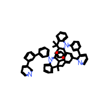 CC1(C)c2ccccc2N(c2cccc(-c3cccnc3-c3cccc(CC4(C)c5ccccc5N(c5cccc(-c6cccc(-c7cccnc7)c6)c5)C5C=CC=CC54)c3)c2)C2C=CC=CC21